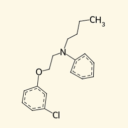 CCCCN(CCOc1cccc(Cl)c1)c1ccccc1